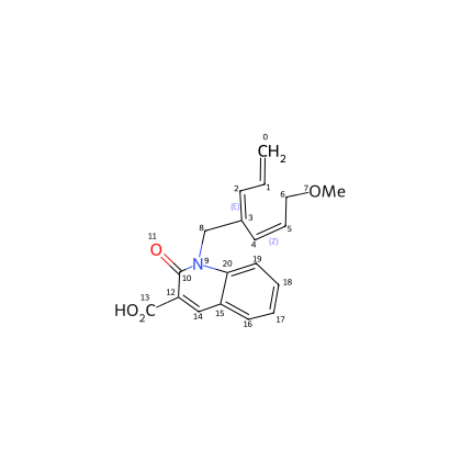 C=C/C=C(\C=C/COC)Cn1c(=O)c(C(=O)O)cc2ccccc21